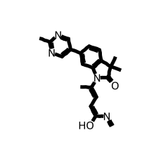 C=N/C(O)=C\C=C(/C)N1C(=O)C(C)(C)c2ccc(-c3cnc(C)nc3)cc21